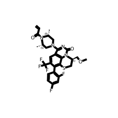 C=CC(=O)N1[C@H](C)CN(c2nc(=O)n3c4c(c(-c5ccc(F)cc5F)c(C(F)(F)F)cc24)SC[C@@H]3COC)C[C@@H]1C